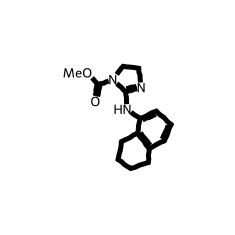 COC(=O)N1CCN=C1Nc1cccc2c1CCCC2